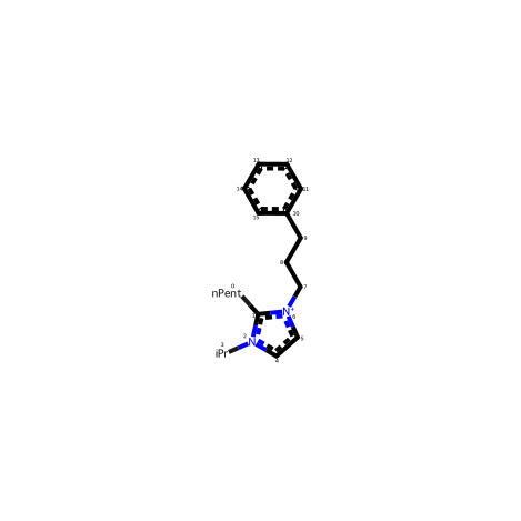 CCCCCc1n(C(C)C)cc[n+]1CCCc1ccccc1